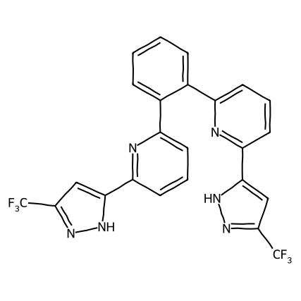 FC(F)(F)c1cc(-c2cccc(-c3ccccc3-c3cccc(-c4cc(C(F)(F)F)n[nH]4)n3)n2)[nH]n1